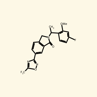 COc1cc(F)ccc1C(C)N1Cc2ccc(-c3noc(C(F)(F)F)n3)cc2C1=O